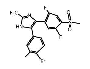 Cc1cc(-c2[nH]c(C(F)(F)F)nc2-c2cc(F)c(S(C)(=O)=O)cc2F)ccc1Br